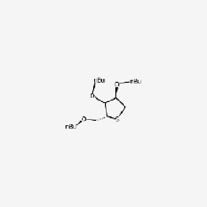 CCCCOC[C@H]1SC[C@H](OCCCC)C1OCCCC